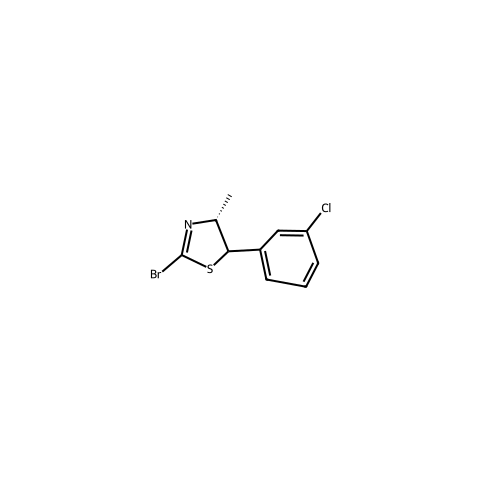 C[C@H]1N=C(Br)SC1c1cccc(Cl)c1